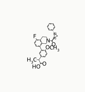 COc1ccc(C(C)C(=O)O)cc1-c1ccc(F)c2c1CN(C(=O)[C@@H]1C[C@H]1c1ccccc1)CC2